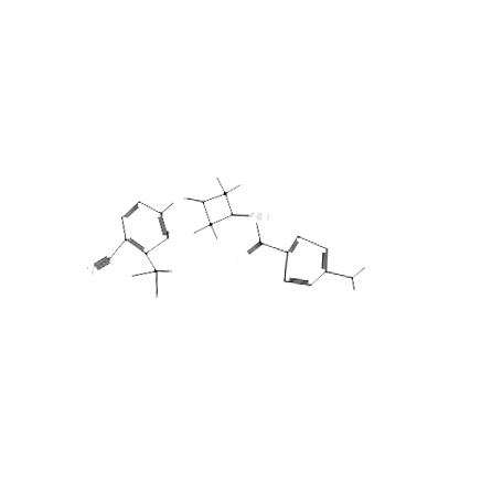 CC(C)c1ccc(C(=O)NC2C(C)(C)C(Oc3ccc(C#N)c(C(F)(F)F)c3)C2(C)C)cc1